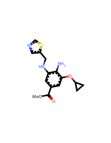 COC(=O)c1cc(NCc2cncs2)c(N)c(OC2CC2)c1